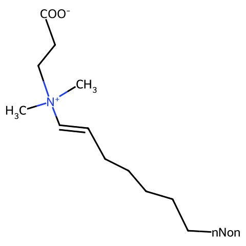 CCCCCCCCCCCCCCC=C[N+](C)(C)CCC(=O)[O-]